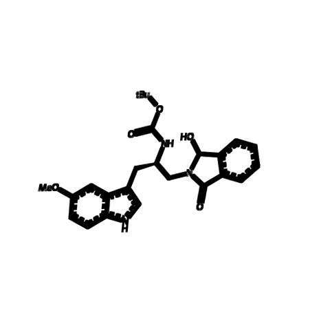 COc1ccc2[nH]cc(C[C@H](CN3C(=O)c4ccccc4C3O)NC(=O)OC(C)(C)C)c2c1